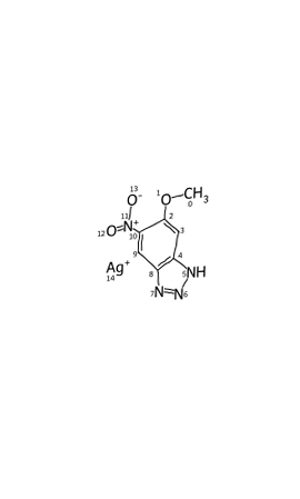 COc1cc2[nH]nnc2cc1[N+](=O)[O-].[Ag+]